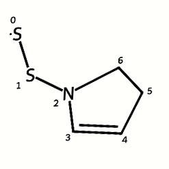 [S]SN1C=CCC1